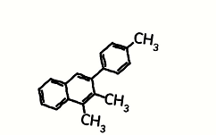 Cc1ccc(-c2cc3ccccc3c(C)c2C)cc1